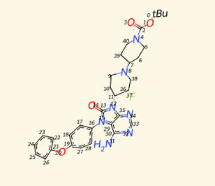 CC(C)(C)OC(=O)N1CCC(N2CC[C@@H](n3c(=O)n(-c4ccc(Oc5ccccc5)cc4)c4c(N)ncnc43)[C@@H](F)C2)CC1